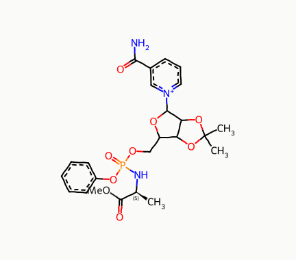 COC(=O)[C@H](C)NP(=O)(OCC1OC([n+]2cccc(C(N)=O)c2)C2OC(C)(C)OC12)Oc1ccccc1